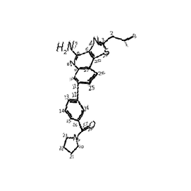 CCCc1nc2c(N)nc3cc(-c4cccc(C(=O)N5CCCC5)c4)ccc3c2s1